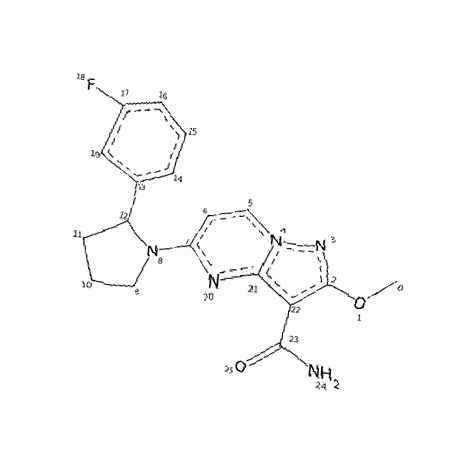 COc1nn2ccc(N3CCCC3c3cccc(F)c3)nc2c1C(N)=O